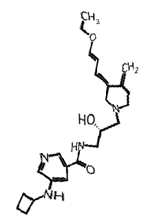 C=C1CCN(C[C@@H](O)CNC(=O)c2cncc(NC3CCC3)c2)C/C1=C/C=C/OCC